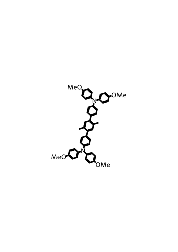 COc1ccc(N(c2ccc(OC)cc2)c2ccc(-c3cc(C)c(-c4ccc(N(c5ccc(OC)cc5)c5ccc(OC)cc5)cc4)cc3C)cc2)cc1